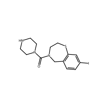 O=C(N1CCNCC1)N1CCSc2cc(I)ccc2C1